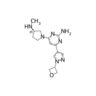 CN[C@@H]1CCN(c2cc(-c3cnn(C4COC4)c3)nc(N)n2)C1